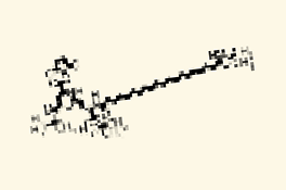 CC(C)(C)OC(=O)CCCCCCCCCCCCCCCCCCC(=O)N[C@@H](CCC(=O)NC(CCC(=O)OC(C)(C)C)C(=O)ON1C(=O)CCC1=O)C(=O)OC(C)(C)C